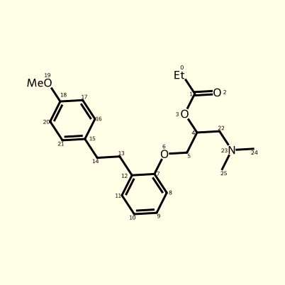 CCC(=O)OC(COc1ccccc1CCc1ccc(OC)cc1)CN(C)C